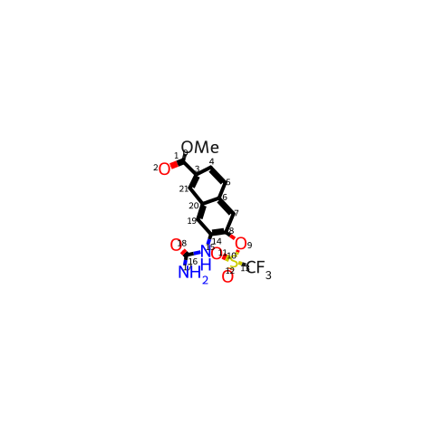 COC(=O)c1ccc2cc(OS(=O)(=O)C(F)(F)F)c(NC(N)=O)cc2c1